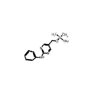 CC(C)(C)[Si](C)(C)OCc1cnc(Nc2ccccc2)nc1